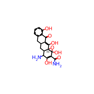 NC(=O)C1=C(O)C(N)C2CC3Cc4cccc(O)c4C(=O)C3=C(O)[C@@]23OC13O